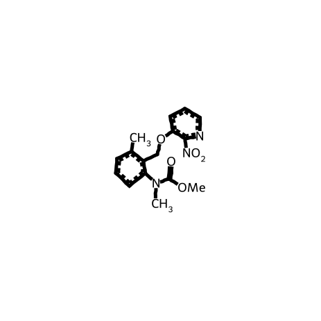 COC(=O)N(C)c1cccc(C)c1COc1cccnc1[N+](=O)[O-]